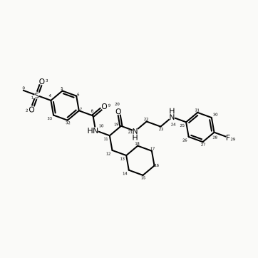 CS(=O)(=O)c1ccc(C(=O)NC(CC2CCCCC2)C(=O)NCCNc2ccc(F)cc2)cc1